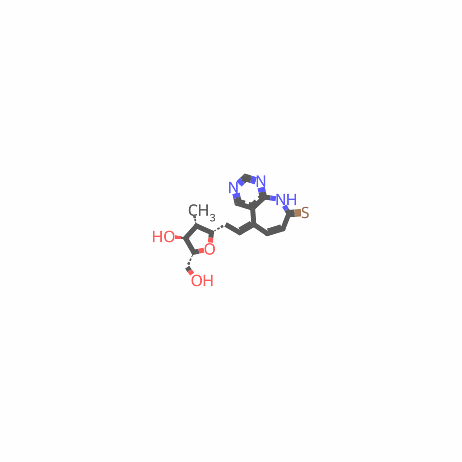 C[C@H]1[C@H](O)[C@@H](CO)O[C@H]1C/C=C1/C=CC(=S)Nc2ncncc21